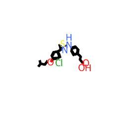 CC(C)CCOc1ccc(-c2csc(Nc3ccc(CCC(=O)O)cc3)n2)cc1Cl